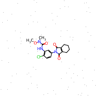 CON(C)C(=O)Nc1cc(N2C(=O)C3=C(CCCC3)C2=O)ccc1Cl